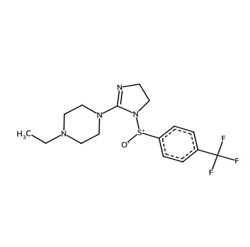 CCN1CCN(C2=NCCN2[S+]([O-])c2ccc(C(F)(F)F)cc2)CC1